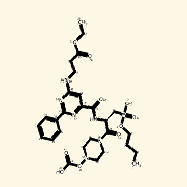 CCCCOP(=O)(O)C[C@H](NC(=O)c1cc(NCCC(=O)OCC)nc(-c2ccccc2)n1)C(=O)N1CCN(OC(=O)O)CC1